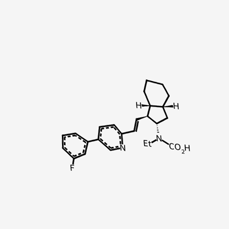 CCN(C(=O)O)[C@H]1C[C@H]2CCCC[C@H]2[C@@H]1C=Cc1ccc(-c2cccc(F)c2)cn1